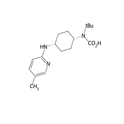 Cc1ccc(N[C@H]2CC[C@@H](N(C(=O)O)C(C)(C)C)CC2)nc1